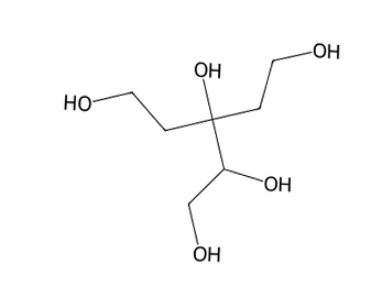 OCCC(O)(CCO)C(O)CO